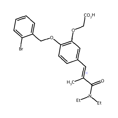 CCN(CC)C(=O)/C(C)=C/c1ccc(OCc2ccccc2Br)c(OCC(=O)O)c1